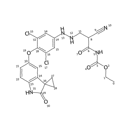 CCOC(=O)NC(=O)C(C#N)CNNc1cc(Cl)c(Oc2ccc3c(c2)C2(CC2)C(=O)N3)c(Cl)c1